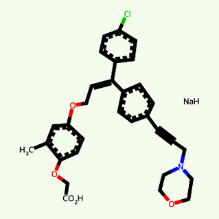 Cc1cc(OCC=C(c2ccc(Cl)cc2)c2ccc(C#CCN3CCOCC3)cc2)ccc1OCC(=O)O.[NaH]